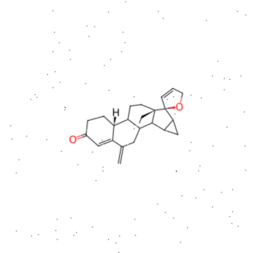 C=C1CC2C(CC[C@@]3(CC)C2C2CC2[C@@]32C=CCO2)[C@H]2CCC(=O)C=C12